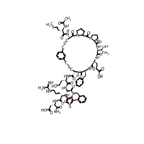 CSCC[C@H](NC(C)=O)C(=O)N[C@H]1CSCc2cccc(c2)CSC[C@@H](C(=O)N[C@@H](CCO)C(=O)N[C@@H](Cc2c[nH]cn2)C(=O)N2Cc3ccccc3C[C@H]2C(=O)N[C@@H](CCCNC(=N)N)C(=O)N[C@@H](CC(=O)O)C(N)=O)NC(=O)[C@H](Cc2ccccc2)NC(=O)[C@H](CCC(=O)O)NC(=O)[C@H]([C@@H](C)O)NC(=O)[C@@H]2CCCN2C(=O)C2CCCN2C1=O